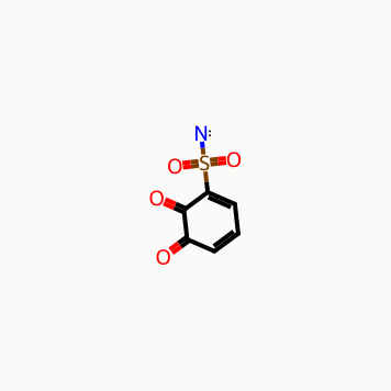 [N]S(=O)(=O)C1=CC=CC(=O)C1=O